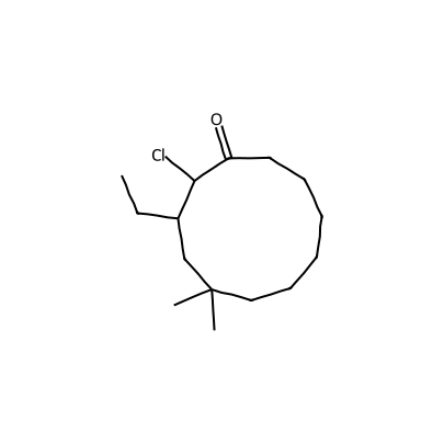 CCC1CC(C)(C)CCCCCCC(=O)C1Cl